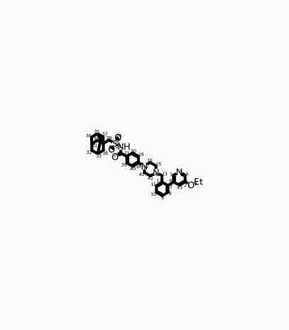 CCOc1cncc(-c2ccccc2CN2CCN(c3ccc(C(=O)NS(=O)(=O)CC45CC6CC(CC(C6)C4)C5)cc3)CC2)c1